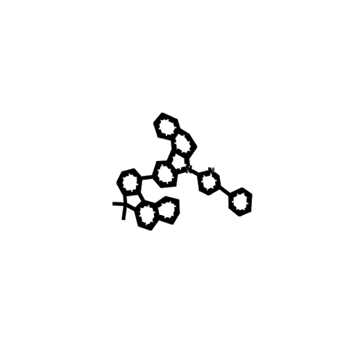 CC1(C)c2cccc(-c3ccc4c(c3)c3c5ccccc5ccc3n4-c3ccc(-c4ccccc4)cn3)c2-c2c1ccc1ccccc21